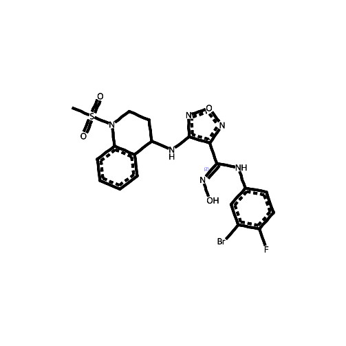 CS(=O)(=O)N1CCC(Nc2nonc2/C(=N/O)Nc2ccc(F)c(Br)c2)c2ccccc21